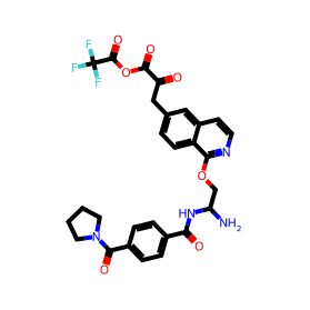 NC(COc1nccc2cc(CC(=O)C(=O)OC(=O)C(F)(F)F)ccc12)NC(=O)c1ccc(C(=O)N2CCCC2)cc1